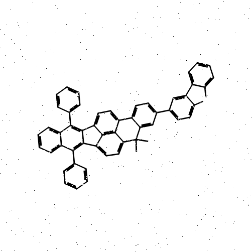 CC1(C)c2cc(-c3ccc4oc5ccccc5c4c3)ccc2-c2ccc3c4c(ccc1c24)-c1c-3c(-c2ccccc2)c2ccccc2c1-c1ccccc1